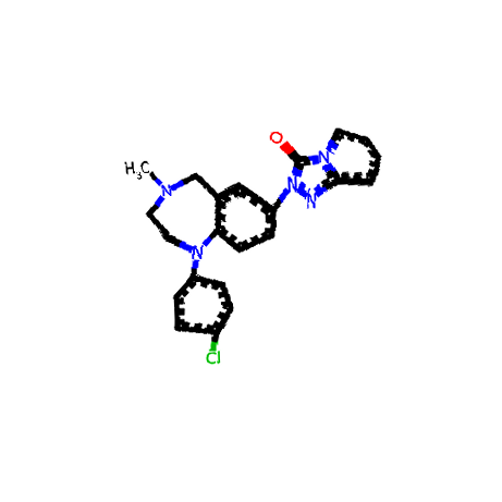 CN1CCN(c2ccc(Cl)cc2)c2ccc(-n3nc4ccccn4c3=O)cc2C1